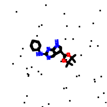 CC1(C)OB(c2c[nH]c3nc(Nc4ccccc4)ncc23)OC1(C)C